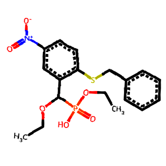 CCOC(c1cc([N+](=O)[O-])ccc1SCc1ccccc1)P(=O)(O)OCC